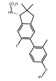 Cc1cc(OC(C)C)ccc1-c1cc2c(cc1F)[C@H](NC(=O)O)C(C)(C)C2